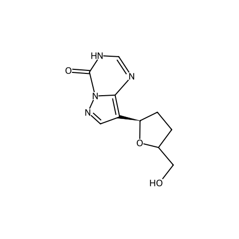 O=c1[nH]cnc2c([C@H]3CCC(CO)O3)cnn12